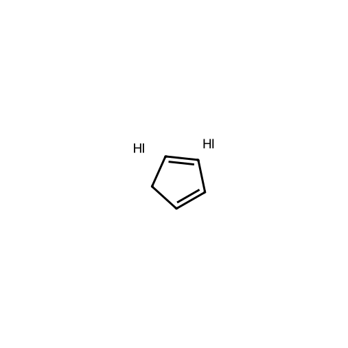 C1=CCC=C1.I.I